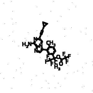 Cc1ccc(C(C)(OC(=O)C(F)(F)F)C(F)(F)F)cc1-c1cnc2c(N)nc(C#CC3CC3)cn12